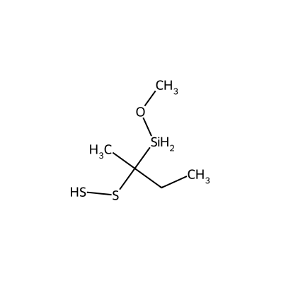 CCC(C)([SiH2]OC)SS